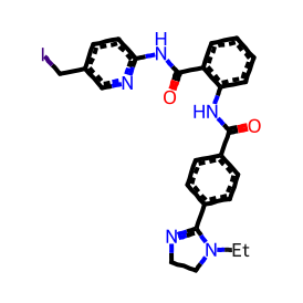 CCN1CCN=C1c1ccc(C(=O)Nc2ccccc2C(=O)Nc2ccc(CI)cn2)cc1